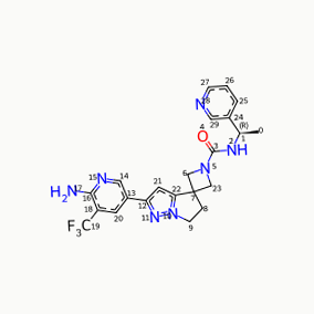 C[C@@H](NC(=O)N1CC2(CCn3nc(-c4cnc(N)c(C(F)(F)F)c4)cc32)C1)c1cccnc1